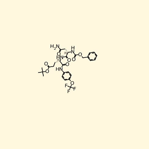 CC(C)(C)OC(=O)CC[C@H](NC(=O)[C@H](CC(N)=O)NC(=O)OCc1ccccc1)C(=O)Nc1ccc(OC(F)(F)F)cc1